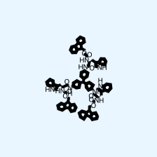 O=C(N[C@@H](Cc1c[nH]c2ccccc12)C(=O)Nc1ccc(C(c2ccc(NC(=O)[C@H](Cc3c[nH]c4ccccc34)NC(=O)OCC3c4ccccc4-c4ccccc43)cc2)c2ccc(NC(=O)[C@H](Cc3c[nH]c4ccccc34)NC(=O)OCC3c4ccccc4-c4ccccc43)cc2)cc1)OCC1c2ccccc2-c2ccccc21